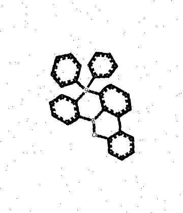 c1ccc([Si]2(c3ccccc3)c3ccccc3B3Oc4ccccc4-c4cccc2c43)cc1